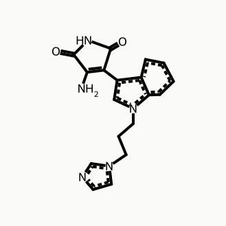 NC1=C(c2cn(CCCn3ccnc3)c3ccccc23)C(=O)NC1=O